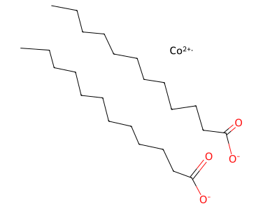 CCCCCCCCCCCC(=O)[O-].CCCCCCCCCCCC(=O)[O-].[Co+2]